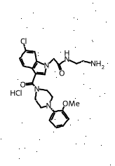 COc1ccccc1N1CCN(C(=O)c2cn(CC(=O)NCCN)c3cc(Cl)ccc23)CC1.Cl